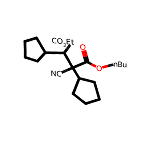 CCCCOC(=O)C(C#N)(C1CCCC1)C(C(=O)OCC)C1CCCC1